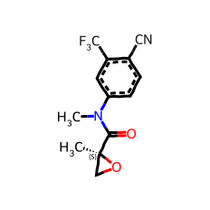 CN(C(=O)[C@]1(C)CO1)c1ccc(C#N)c(C(F)(F)F)c1